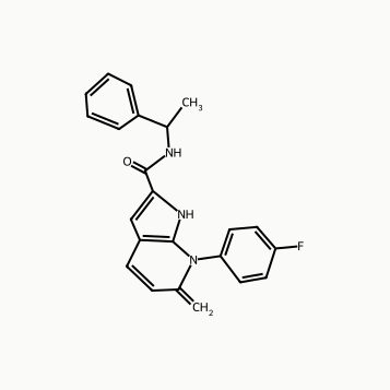 C=C1C=Cc2cc(C(=O)NC(C)c3ccccc3)[nH]c2N1c1ccc(F)cc1